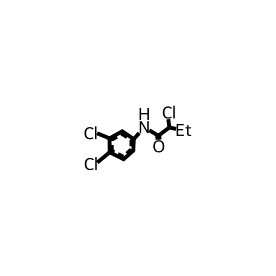 CCC(Cl)C(=O)Nc1ccc(Cl)c(Cl)c1